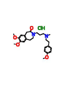 COc1ccc(CCN(C)CCCN2CCc3cc(OC)c(OC)cc3CC2=O)cc1.Cl